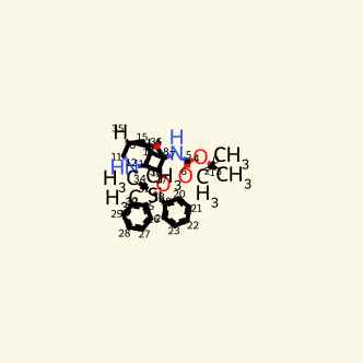 CC(C)(C)OC(=O)NC12C[C@@H]3CNC([C@H]1C3)[C@H]2O[Si](c1ccccc1)(c1ccccc1)C(C)(C)C